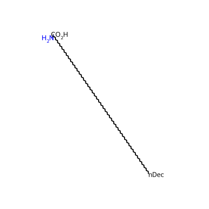 CCCCCCCCCCCCCCCCCCCCCCCCCCCCCCCCCCCCCCCCCCCCCCCCCCCCCCCCCCCCCCCCCCCCCCCCCCCCCCCCCCCCCCCCCCCCCCCCCCC(N)C(=O)O